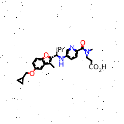 Cc1c(C(Nc2ccc(C(=O)N(C)CCC(=O)O)nc2)C(C)C)oc2ccc(OCC3CC3)cc12